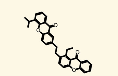 CCc1c(CCc2ccc3oc4c(C(C)C)cccc4c(=O)c3c2)ccc2oc3ccccc3c(=O)c12